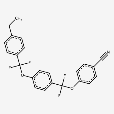 CCc1ccc(C(F)(F)Oc2ccc(C(F)(F)Oc3ccc(C#N)cc3)cc2)cc1